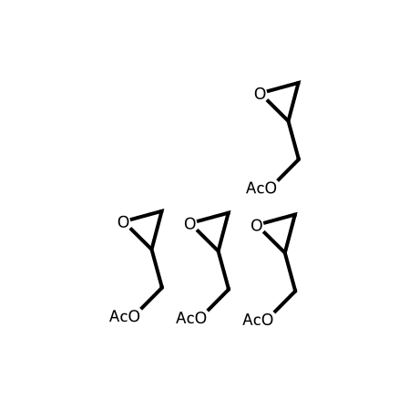 CC(=O)OCC1CO1.CC(=O)OCC1CO1.CC(=O)OCC1CO1.CC(=O)OCC1CO1